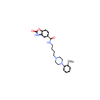 COc1ccccc1N1CCN(CCCCNC(=O)c2ccc3oc(=O)[nH]c3c2)CC1